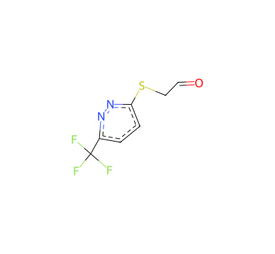 O=CCSc1ccc(C(F)(F)F)nn1